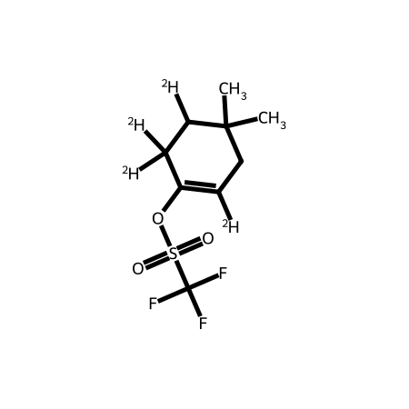 [2H]C1=C(OS(=O)(=O)C(F)(F)F)C([2H])([2H])C([2H])C(C)(C)C1